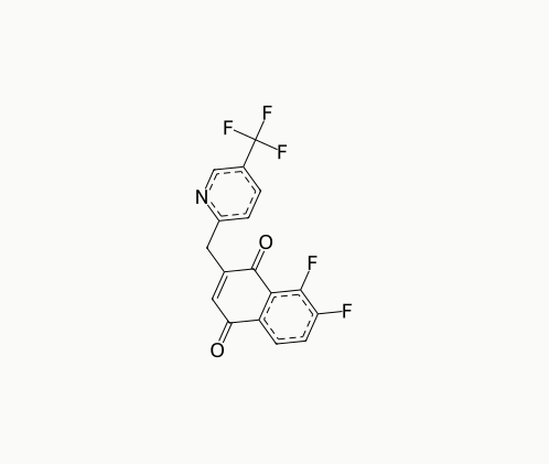 O=C1C=C(Cc2ccc(C(F)(F)F)cn2)C(=O)c2c1ccc(F)c2F